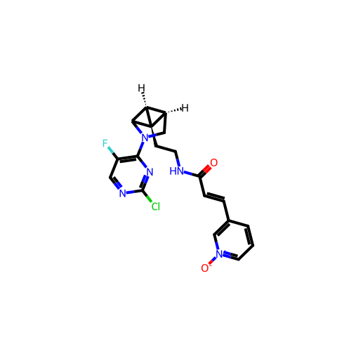 O=C(/C=C/c1ccc[n+]([O-])c1)NCC[C@@]12C3[C@H]1[C@H]2CN3c1nc(Cl)ncc1F